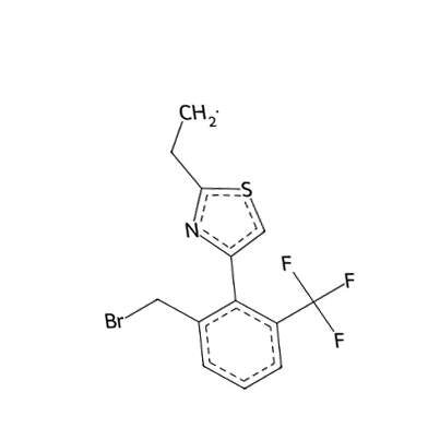 [CH2]Cc1nc(-c2c(CBr)cccc2C(F)(F)F)cs1